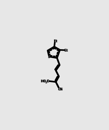 CCc1csc(C=CC=C(C#N)C(=O)O)c1CC